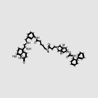 CN(CCCCC(=O)Nc1cccc(CNC[C@H](O)c2ccc(O)c3[nH]c(=O)ccc23)c1)C(=O)CCN1C[C@H]2C[C@@H](OC(=O)Nc3ccccc3-c3ccccc3)C[C@H]2C1